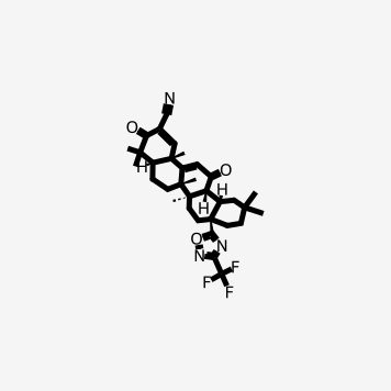 CC1(C)CC[C@]2(c3nc(C(F)(F)F)no3)CC[C@]3(C)[C@H](C(=O)C=C4[C@@]5(C)C=C(C#N)C(=O)C(C)(C)[C@@H]5CC[C@]43C)[C@@H]2C1